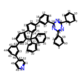 c1ccc(-c2nc(-c3ccccc3)nc(-c3cccc(-c4ccc5c(c4)C(c4ccccc4)(c4ccccc4)c4cc(-c6cccc(-c7ccncc7)c6)ccc4-5)c3)n2)cc1